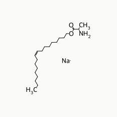 CCCCCCCC/C=C\CCCCCCCCOC(=O)C(C)N.[Na]